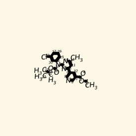 CCOC(=O)c1cncc(-c2cc(C)nc(N(C(=O)OC(C)(C)C)c3cccc(Cl)c3)n2)c1